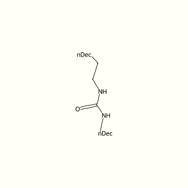 CCCCCCCCCCCCNC(=O)NCCCCCCCCCC